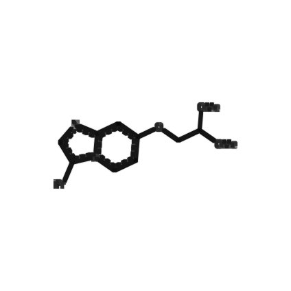 COC(COc1ccn2c(C(C)C)cnc2c1)OC